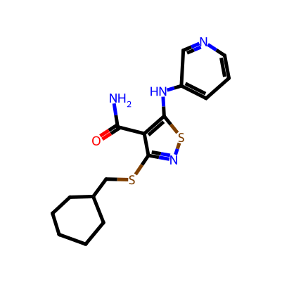 NC(=O)c1c(SCC2CCCCC2)nsc1Nc1cccnc1